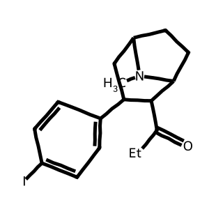 CCC(=O)C1C(c2ccc(I)cc2)CC2CCC1N2C